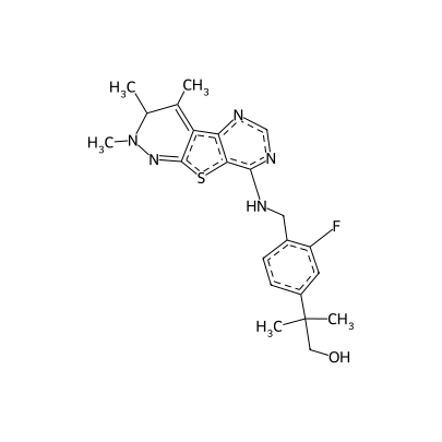 CC1=c2c(sc3c(NCc4ccc(C(C)(C)CO)cc4F)ncnc23)=NN(C)C1C